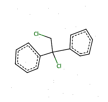 ClCC(Cl)(c1ccccc1)c1ccccc1